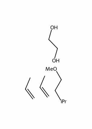 C=CC.C=CC.COCCC(C)C.OCCO